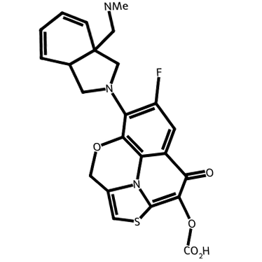 CNCC12C=CC=CC1CN(c1c(F)cc3c(=O)c(OC(=O)O)c4scc5n4c3c1OC5)C2